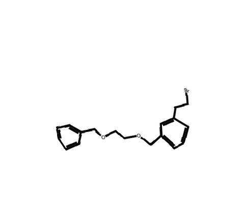 BrCCc1cccc(COCCOCc2ccccc2)c1